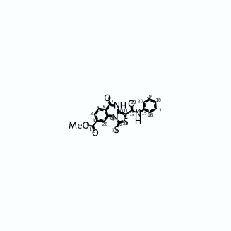 COC(=O)c1ccc2c(=O)[nH]c3c(C(=O)Nc4ccccc4)sc(=S)n3c2c1